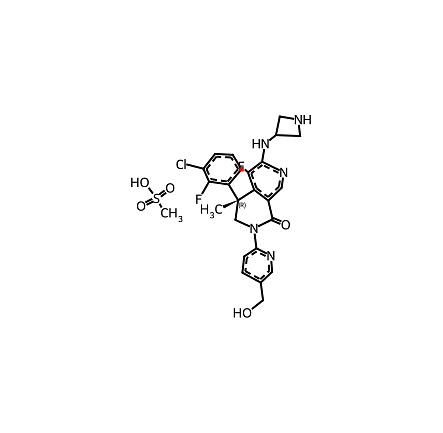 CS(=O)(=O)O.C[C@]1(c2cccc(Cl)c2F)CN(c2ccc(CO)cn2)C(=O)c2cnc(NC3CNC3)c(F)c21